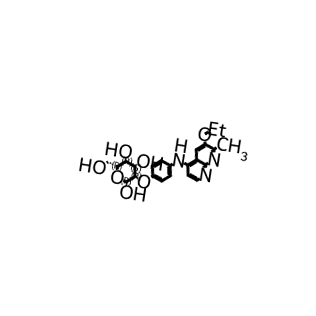 CCOc1cc2c(Nc3ccc(O[C@@H]4[C@@H](O)[C@@H](O)[C@@H](CO)O[C@H]4O)cc3)ccnc2nc1C